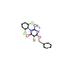 Cc1nc(OCc2ccccc2)c(Br)c(=O)n1-c1c(Cl)cccc1Cl